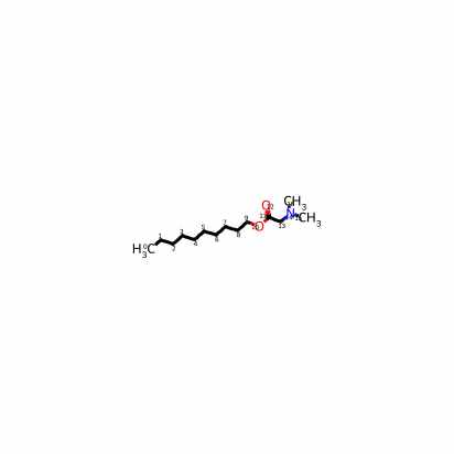 CCCCCCCCCCOC(=O)CN(C)C